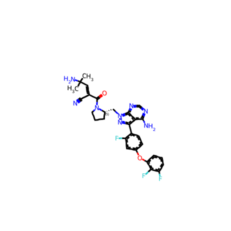 CC(C)(N)C=C(C#N)C(=O)N1CCC[C@H]1Cn1nc(-c2ccc(Oc3cccc(F)c3F)cc2F)c2c(N)ncnc21